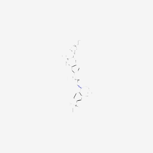 O=C(/C=C1\CCOCc2cc(C(F)(F)F)ccc21)Nc1ccc2c(c1)NC(=O)C(N1CC[C@H](F)C1)C2